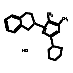 Cc1nc(N2CCCCC2)nc(N2CCc3ccccc3C2)c1C.Cl